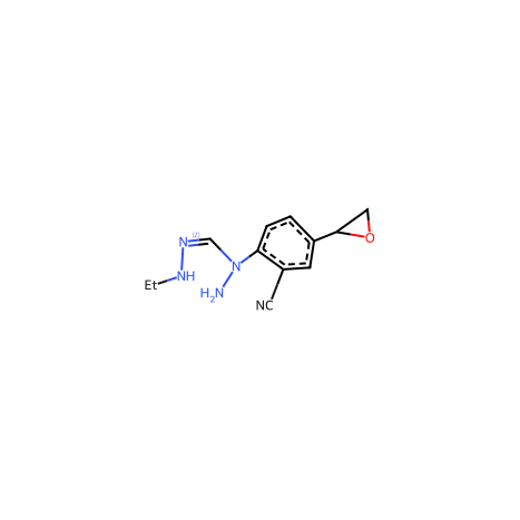 CCN/N=C\N(N)c1ccc(C2CO2)cc1C#N